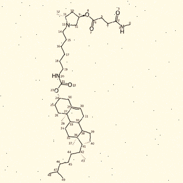 CNC(=O)CCC(=O)O[C@@H]1C[C@@H](C)N(CCCCCCNC(=O)O[C@H]2CC[C@@]3(C)C(=CCC4C3CC[C@@]3(C)C4CC[C@@H]3[C@H](C)CCCC(C)C)C2)C1